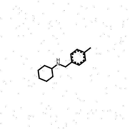 Cc1ccc(CNC2CCCCC2)cc1